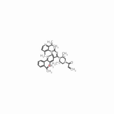 C=CC(=O)N1C[C@H](C)N(c2nc(=O)n(-c3c(C)ccnc3C(C)C)c3nc(-c4ccccc4C(=C)C)c(Cl)cc23)[C@@H](C)C1